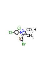 C[C@@H]1C(C(=O)O)=NN(c2ccc(Cl)cc2Cl)[C@H]1c1cc(Br)cs1